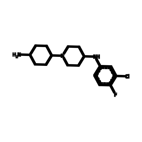 NC1CCC(N2CC[C](Nc3ccc(F)c(Cl)c3)CC2)CC1